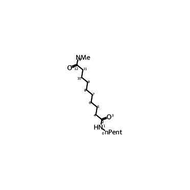 CCCCCNC(=O)CCCCCCCCC(=O)NC